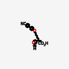 CC(C(=O)O)=C(CCCCCCOc1ccc(-c2ccc(C#N)cc2)cc1)C1CCOC([SiH](C)C)C1